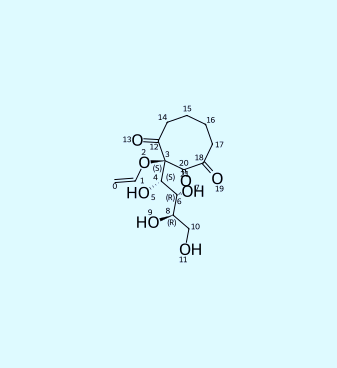 C=CO[C@@]1([C@@H](O)[C@H](O)[C@H](O)CO)C(=O)CCCCC(=O)C1=O